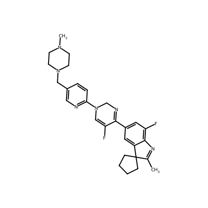 CC1=Nc2c(F)cc(C3=NCN(c4ccc(CN5CCN(C)CC5)cn4)C=C3F)cc2C12CCCC2